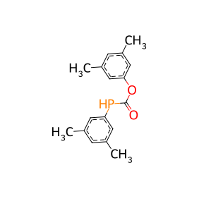 Cc1cc(C)cc(OC(=O)Pc2cc(C)cc(C)c2)c1